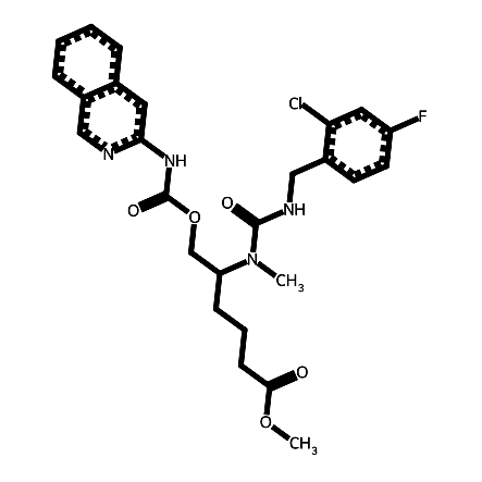 COC(=O)CCCC(COC(=O)Nc1cc2ccccc2cn1)N(C)C(=O)NCc1ccc(F)cc1Cl